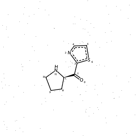 O=C(c1nccs1)[C@H]1CCCN1